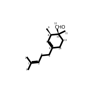 CC(C)=CCCC1=C[C@@H](C)[C@@](C)(C=O)CC1